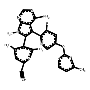 C#Cc1cc(C)c(-c2c(-c3ncc(Oc4nccc(C)n4)cc3F)c3c(N)ncnc3n2C)c(C)n1